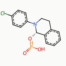 O=[PH](O)O[C@H]1c2ccccc2CCN1c1ccc(Cl)cc1